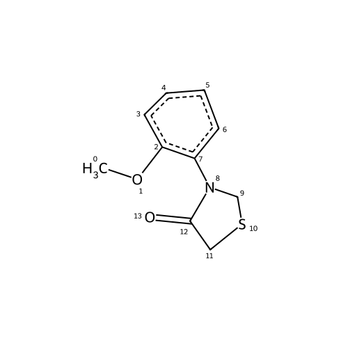 COc1ccccc1N1CSCC1=O